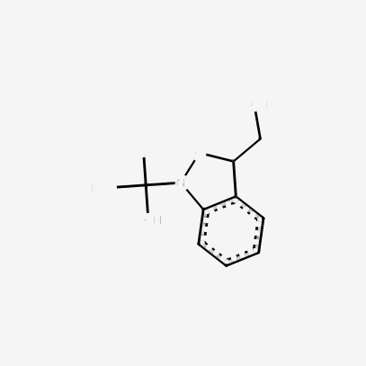 CCC1ON(C(C)(C)C)c2ccccc21